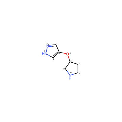 c1n[nH]cc1OC1CCNC1